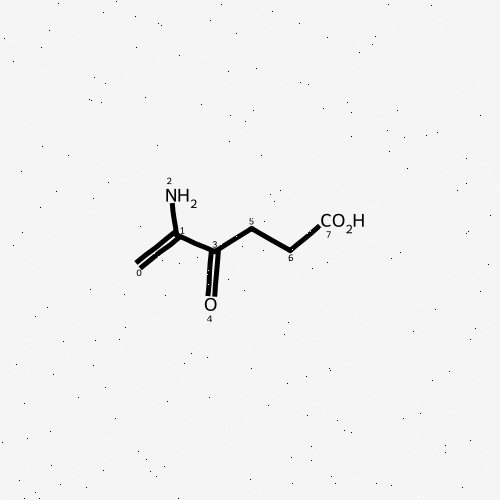 C=C(N)C(=O)CCC(=O)O